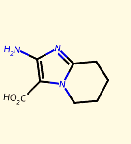 Nc1nc2n(c1C(=O)O)CCCC2